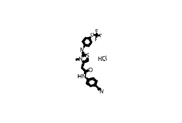 Cl.Cn1c(CC(=O)Nc2ccc(C#N)cc2)cs/c1=N\c1ccc(OC(F)(F)F)cc1